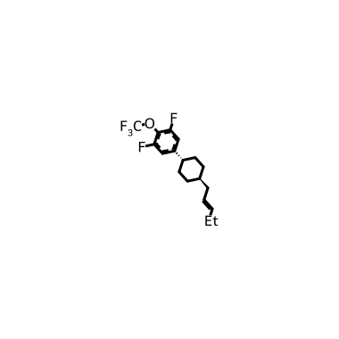 CC/C=C/C[C@H]1CC[C@H](c2cc(F)c(OC(F)(F)F)c(F)c2)CC1